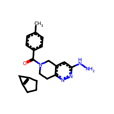 C1CC2=C(C1)C2.Cc1ccc(C(=O)N2CCc3nnc(NN)cc3C2)cc1